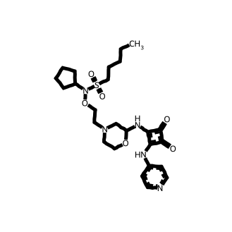 CCCCCS(=O)(=O)N(OCCN1CCOC(Nc2c(Nc3ccncc3)c(=O)c2=O)C1)C1CCCC1